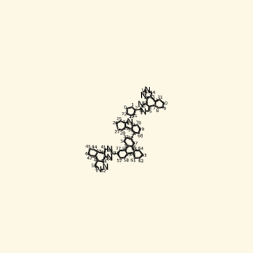 c1cc(-c2ncc3c4ccccc4c4cncnc4c3n2)cc(-n2c3ccccc3c3c(-c4ccc5c6cc(-c7ncc8c9ccccc9c9cncnc9c8n7)ccc6c6ccccc6c5c4)cccc32)c1